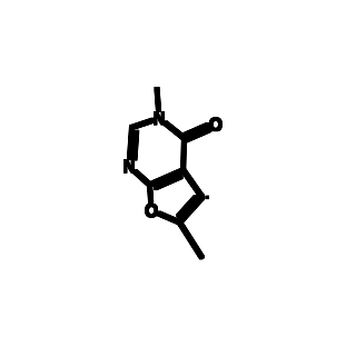 Cc1[c]c2c(=O)n(C)cnc2o1